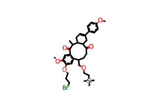 COc1ccc(C2=CCC3C(C)C(=O)c4cc(OC)c(OCCCBr)cc4C(COCC[Si](C)(C)C)CCC(=O)C3C2)cc1